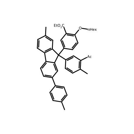 CCCCCCOc1ccc(C2(c3ccc(C)c(C(C)=O)c3)c3cc(C)ccc3-c3ccc(-c4ccc(C)cc4)cc32)cc1C(=O)OCC